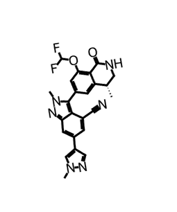 C[C@H]1CNC(=O)c2c(OC(F)F)cc(-c3c4c(C#N)cc(-c5cnn(C)c5)cc4nn3C)cc21